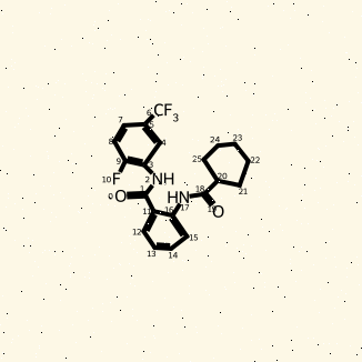 O=C(Nc1cc(C(F)(F)F)ccc1F)c1ccccc1NC(=O)C1CCCCC1